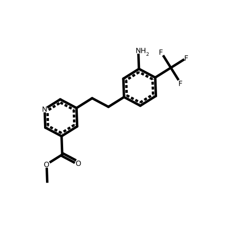 COC(=O)c1cncc(CCc2ccc(C(F)(F)F)c(N)c2)c1